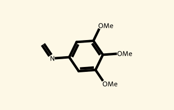 C=Nc1cc(OC)c(OC)c(OC)c1